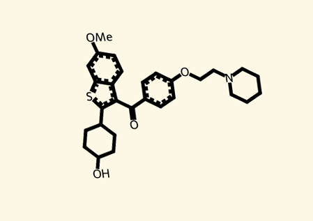 COc1ccc2c(C(=O)c3ccc(OCCN4CCCCC4)cc3)c(C3CCC(O)CC3)sc2c1